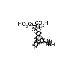 O=C(O)CCC(NC(=O)c1cccc(Cn2c3ccccc3c3cc(-c4nn[nH]n4)ccc32)c1)C(=O)O